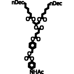 CCCCCCCCCCCCCCCC(=O)OCC(COC(=O)CCCCCCCCCCCCCCC)OC(=O)CCC(=O)Oc1ccc(COC(=O)Oc2ccc(NC(C)=O)cc2)cc1